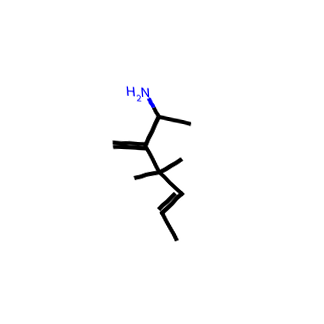 C=C(C(C)N)C(C)(C)C=CC